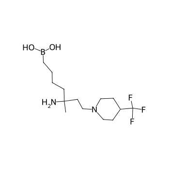 CC(N)(CCCCB(O)O)CCN1CCC(C(F)(F)F)CC1